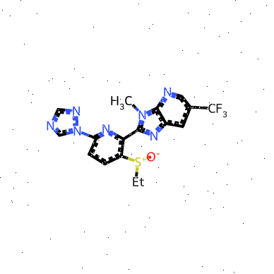 CC[S+]([O-])c1ccc(-n2cncn2)nc1-c1nc2cc(C(F)(F)F)cnc2n1C